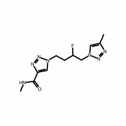 CNC(=O)c1cn(CCC(F)Cn2cc(C)nn2)nn1